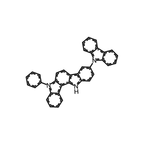 c1ccc(-n2c3ccccc3c3c4[nH]c5ccc(-n6c7ccccc7c7ccccc76)cc5c4ccc32)cc1